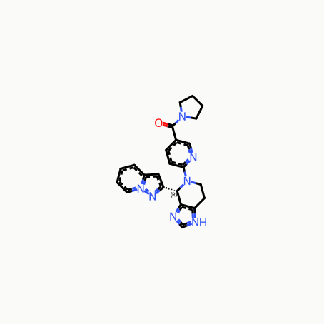 O=C(c1ccc(N2CCc3[nH]cnc3[C@@H]2c2cc3ccccn3n2)nc1)N1CCCC1